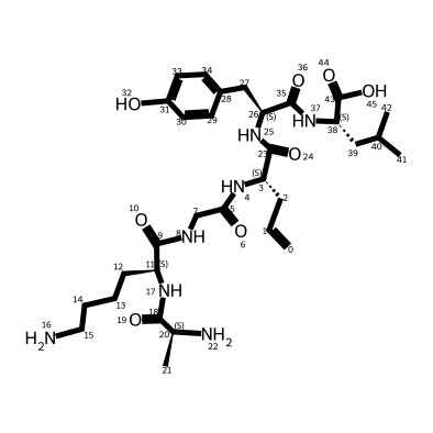 C=CC[C@H](NC(=O)CNC(=O)[C@H](CCCCN)NC(=O)[C@H](C)N)C(=O)N[C@@H](Cc1ccc(O)cc1)C(=O)N[C@@H](CC(C)C)C(=O)O